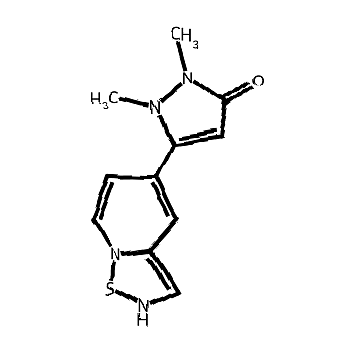 Cn1c(C2=CC3=CNSN3C=C2)cc(=O)n1C